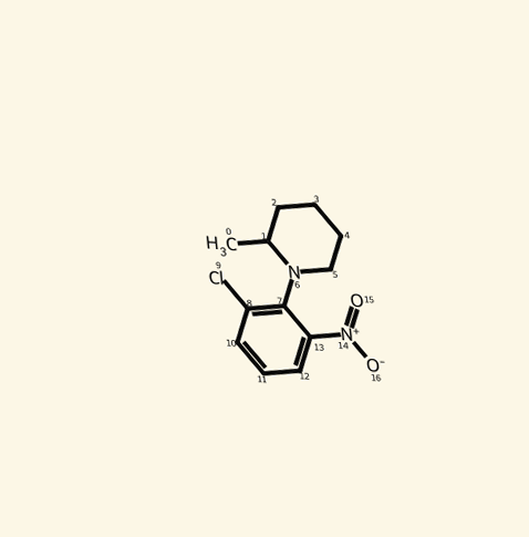 CC1CCCCN1c1c(Cl)cccc1[N+](=O)[O-]